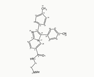 CNCCNC(=O)c1ccc2nc(-c3ccc(C)cc3)c(-c3ccc(C#N)cc3)n2c1